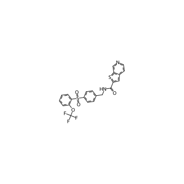 O=C(NCc1ccc(S(=O)(=O)c2ccccc2OC(F)(F)F)cc1)c1cc2ccncc2s1